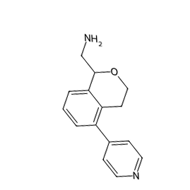 NCC1OCCc2c(-c3ccncc3)cccc21